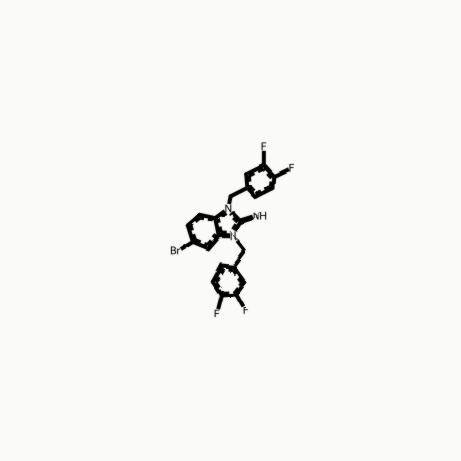 N=c1n(Cc2ccc(F)c(F)c2)c2ccc(Br)cc2n1Cc1ccc(F)c(F)c1